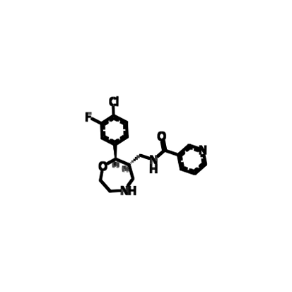 O=C(NC[C@@H]1CNCCO[C@H]1c1ccc(Cl)c(F)c1)c1cccnc1